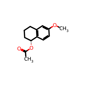 COc1ccc2c(c1)CCC[C@H]2OC(C)=O